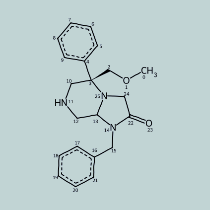 COC[C@]1(c2ccccc2)CNCC2N(Cc3ccccc3)C(=O)CN21